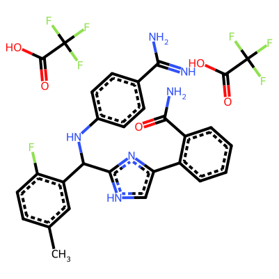 Cc1ccc(F)c(C(Nc2ccc(C(=N)N)cc2)c2nc(-c3ccccc3C(N)=O)c[nH]2)c1.O=C(O)C(F)(F)F.O=C(O)C(F)(F)F